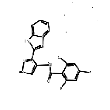 O=C(Nc1c[nH]nc1-c1nc2ccccc2[nH]1)c1c(F)cc(F)cc1Cl